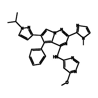 COc1cc(Nc2nc(-c3nccn3C)nn3cc(-c4ccn(C(C)C)n4)c(-c4ccccc4)c23)ncn1